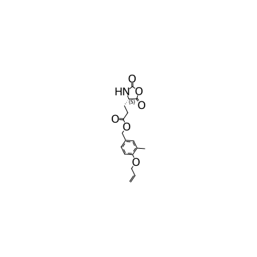 C=CCOc1ccc(COC(=O)CC[C@@H]2NC(=O)OC2=O)cc1C